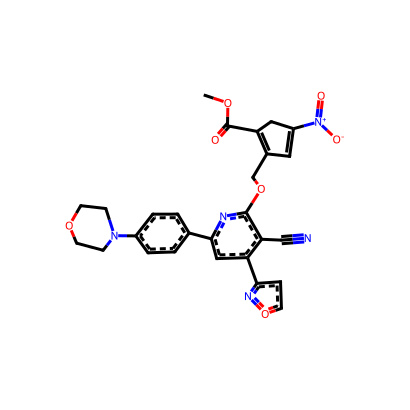 COC(=O)C1=C(COc2nc(-c3ccc(N4CCOCC4)cc3)cc(-c3ccon3)c2C#N)C=C([N+](=O)[O-])C1